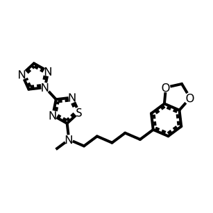 CN(CCCCCc1ccc2c(c1)OCO2)c1nc(-n2cncn2)ns1